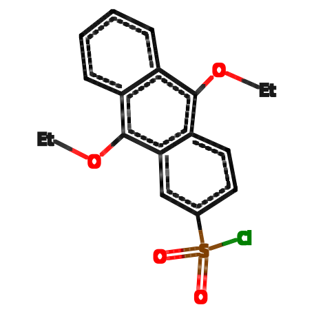 CCOc1c2ccccc2c(OCC)c2cc(S(=O)(=O)Cl)ccc12